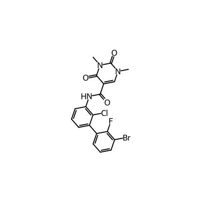 Cn1cc(C(=O)Nc2cccc(-c3cccc(Br)c3F)c2Cl)c(=O)n(C)c1=O